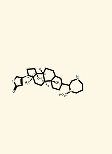 C[C@]12CCC(C3CNCCCN3C(=O)O)CC1CC[C@@H]1[C@@H]2CC[C@]2(C)[C@@H](C3=CC(=O)OC3)CC[C@]12O